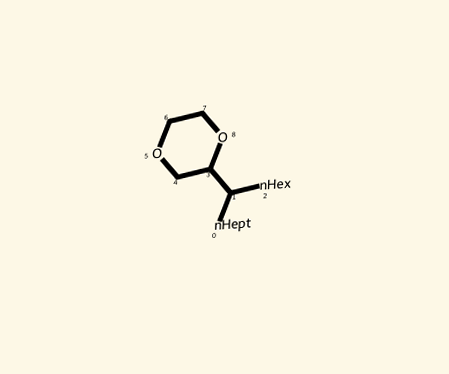 CCCCCCCC(CCCCCC)C1COCCO1